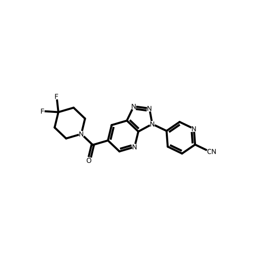 N#Cc1ccc(-n2nnc3cc(C(=O)N4CCC(F)(F)CC4)cnc32)cn1